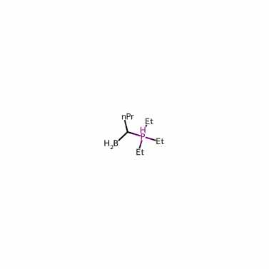 BC(CCC)[PH](CC)(CC)CC